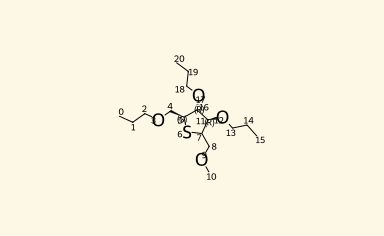 CCCOC[C@@H]1SC(COC)[C@H](OCCC)[C@H]1OCCC